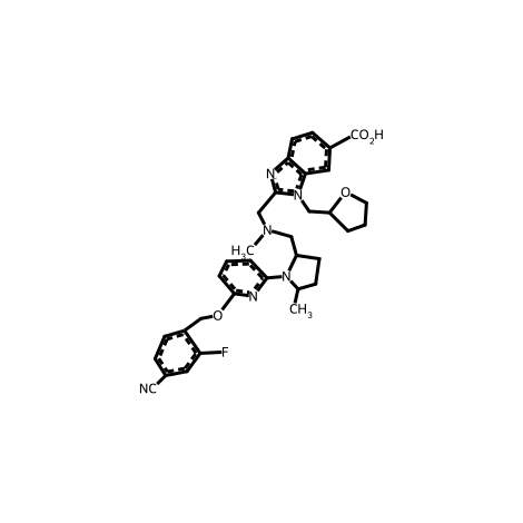 CC1CCC(CN(C)Cc2nc3ccc(C(=O)O)cc3n2CC2CCCO2)N1c1cccc(OCc2ccc(C#N)cc2F)n1